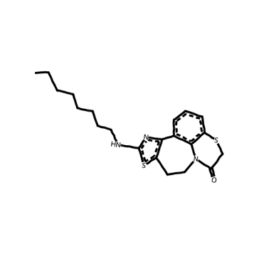 CCCCCCCCNc1nc2c(s1)CCN1C(=O)CSc3cccc-2c31